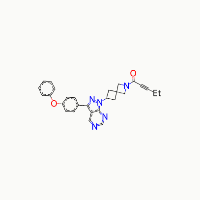 CCC#CC(=O)N1CC2(CC(n3nc(-c4ccc(Oc5ccccc5)cc4)c4cncnc43)C2)C1